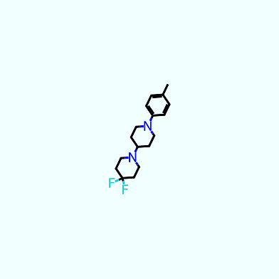 Cc1ccc(N2CCC(N3CCC(F)(F)CC3)CC2)cc1